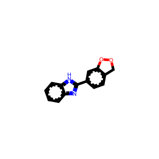 c1ccc2[nH]c(-c3ccc4c(c3)OOC4)nc2c1